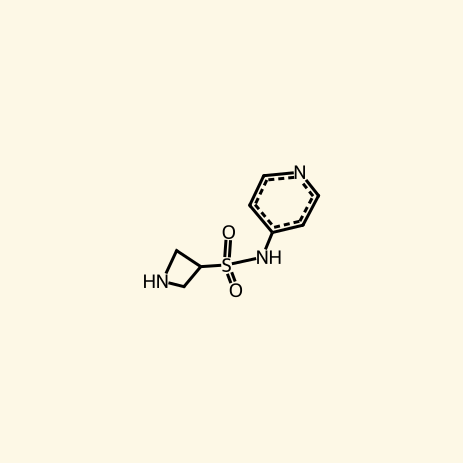 O=S(=O)(Nc1ccncc1)C1CNC1